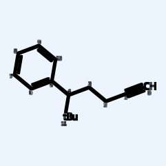 C#CCCC(c1ccccc1)C(C)(C)C